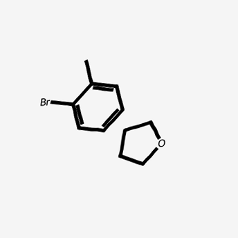 C1CCOC1.Cc1ccccc1Br